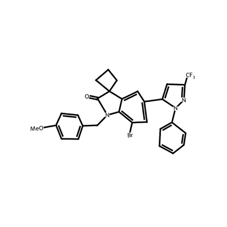 COc1ccc(CN2C(=O)C3(CCC3)c3cc(-c4cc(C(F)(F)F)nn4-c4ccccc4)cc(Br)c32)cc1